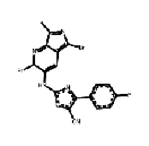 CCC1N=C2C(C)=NC(Br)=C2C=C1Nc1nc(-c2ccc(F)cc2)c(C#N)s1